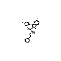 Cc1ccc(-c2c(C(=O)NCCc3ccccc3)oc3ccc(C)cc23)cc1